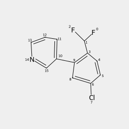 FC(F)c1ccc(Cl)cc1-c1cccnc1